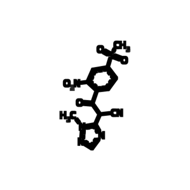 Cn1ncnc1C(C#N)C(=O)c1ccc(S(C)(=O)=O)cc1[N+](=O)[O-]